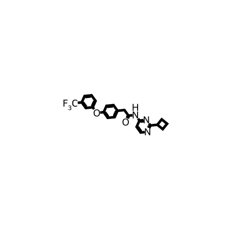 O=C(Cc1ccc(Oc2cccc(C(F)(F)F)c2)cc1)Nc1ccnc(C2CCC2)n1